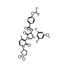 COc1cc(F)c([C@@H]2CN(c3c(C)ccn(C4CCS(=O)(=O)C4)c3=O)C(=O)[C@H]2NC(=O)c2ccc(OC(F)F)cc2)c(F)c1